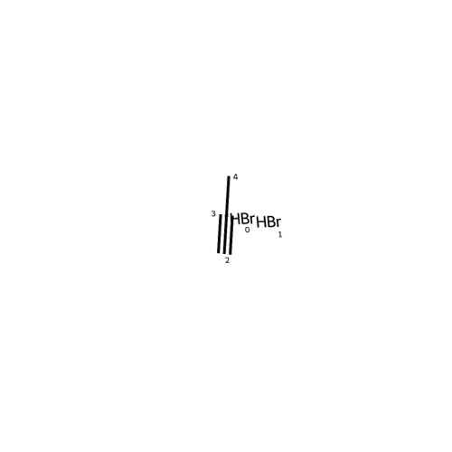 Br.Br.C#CC